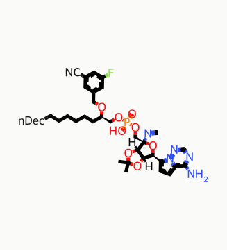 C=N[C@]1(COP(=O)(O)OC[C@@H](CCCCCCCCCCCCCCCC)OCc2cc(F)cc(C#N)c2)O[C@@H](c2ccc3c(N)ncnn23)[C@@H]2OC(C)(C)O[C@@H]21